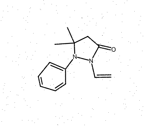 C=CN1C(=O)CC(C)(C)N1c1ccccc1